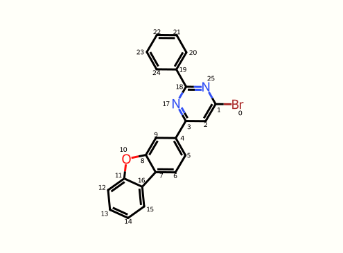 Brc1cc(-c2ccc3c(c2)oc2ccccc23)nc(-c2ccccc2)n1